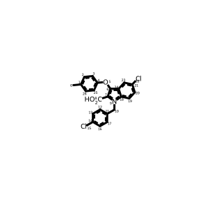 Cc1ccc(Oc2c(C(=O)O)n(Cc3ccc(Cl)cc3)c3ccc(Cl)cc23)cc1